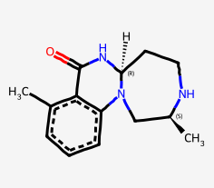 Cc1cccc2c1C(=O)N[C@H]1CCN[C@@H](C)CN21